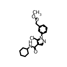 COOCc1cccc(-n2ncc(C(=O)NC3CCCCC3)c2Cl)c1